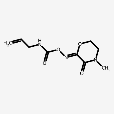 C=CCNC(=O)ON=C1OCCN(C)C1=O